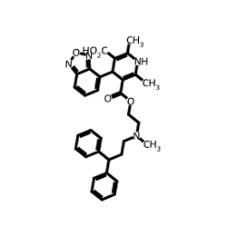 CC1=C(C(=O)O)C(c2cccc3nonc23)C(C(=O)OCCN(C)CCC(c2ccccc2)c2ccccc2)=C(C)N1